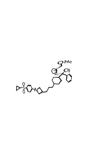 COC[C@@H]1CCC[C@H]1C(C#N)(c1ccccc1)C1CCC(CCCC2CN(c3ccc(S(=O)(=O)C4CC4)cc3)C2)CC1